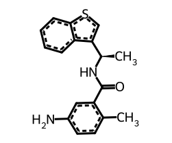 Cc1ccc(N)cc1C(=O)N[C@H](C)c1csc2ccccc12